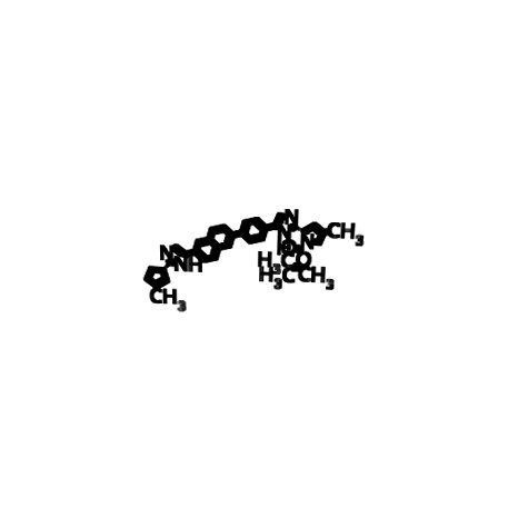 CC1=C[C@@H](c2ncc(-c3ccc4cc(-c5ccc(-c6cnc([C@@H]7C=C(C)CN7C(=O)OC(C)(C)C)[nH]6)cc5)ccc4c3)[nH]2)CC1